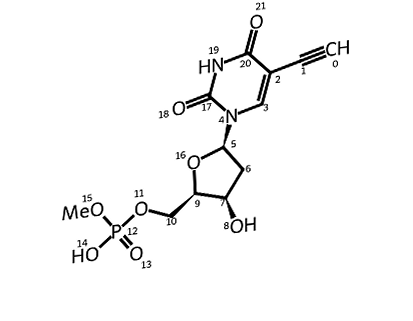 C#Cc1cn([C@H]2C[C@@H](O)[C@@H](COP(=O)(O)OC)O2)c(=O)[nH]c1=O